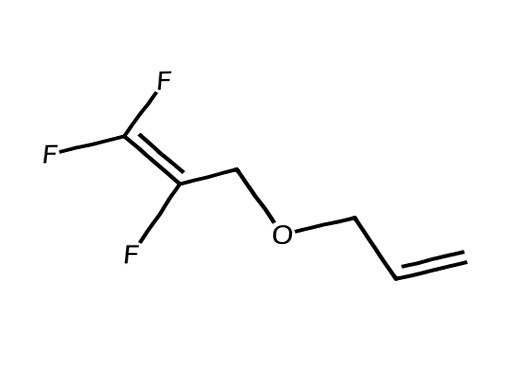 C=CCOCC(F)=C(F)F